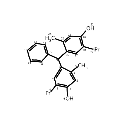 Cc1cc(O)c(C(C)C)cc1C(c1ccccc1)c1cc(C(C)C)c(O)cc1C